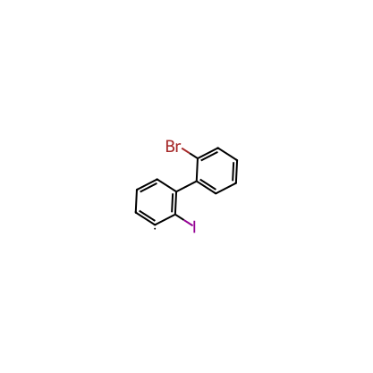 Brc1ccccc1-c1ccc[c]c1I